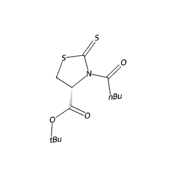 CCCCC(=O)N1C(=S)SC[C@H]1C(=O)OC(C)(C)C